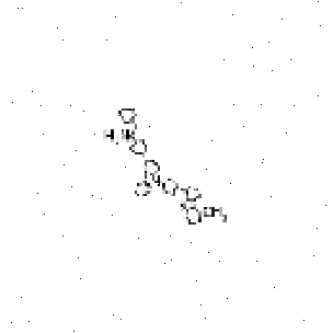 C[C@@H]1CC=Cc2sc3c(-c4ccc(-n5c6c(c7cc(-c8ccc([C@@H](N)Cc9ccccc9)cc8)ccc75)CCC=C6)cc4)cccc3c21